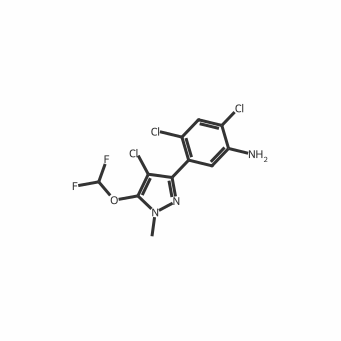 Cn1nc(-c2cc(N)c(Cl)cc2Cl)c(Cl)c1OC(F)F